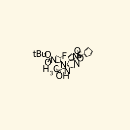 C[C@@H](O)c1nc2cnc3c(ccn3S(=O)(=O)c3ccccc3)c2n1C1CN(C(=O)OC(C)(C)C)CC1F